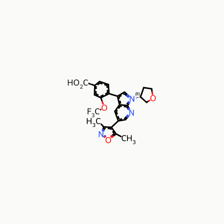 Cc1noc(C)c1-c1cnc2c(c1)c(-c1ccc(C(=O)O)cc1OC(F)(F)F)cn2[C@@H]1CCOC1